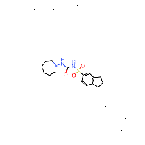 O=C(NN1CCCCCC1)NS(=O)(=O)c1ccc2c(c1)CCC2